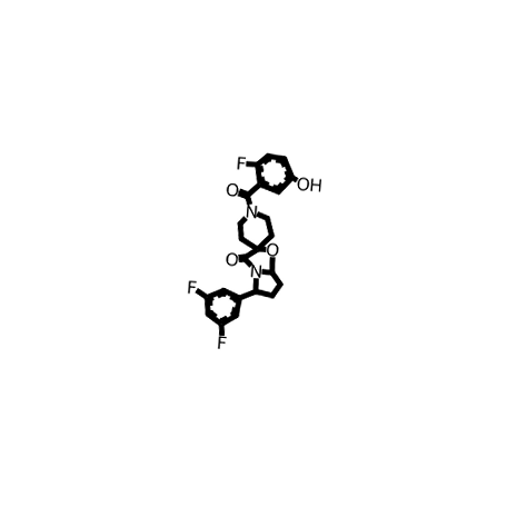 O=C(c1cc(O)ccc1F)N1CCC2(CC1)OC1CCC(c3cc(F)cc(F)c3)N1C2=O